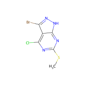 CSc1nc(Cl)c2c(Br)n[nH]c2n1